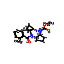 COc1cccc(OC)c1C(=O)N(C1CCC1)[C@H]1CCC[C@@H]1NC(=O)OC(C)(C)C